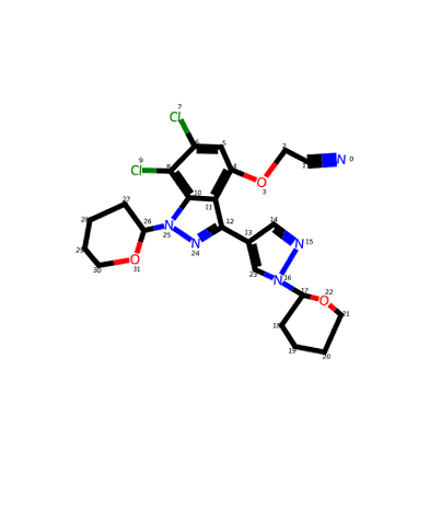 N#CCOc1cc(Cl)c(Cl)c2c1c(-c1cnn(C3CCCCO3)c1)nn2C1CCCCO1